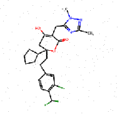 Cc1nc(CC2=C(O)CC(CCc3ccc(C(F)F)c(F)c3)(C3CCCC3)OC2=O)n(C)n1